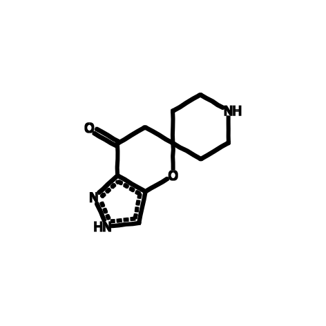 O=C1CC2(CCNCC2)Oc2c[nH]nc21